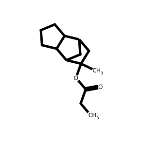 CCC(=O)OC1(C)CC2CC1C1CCCC21